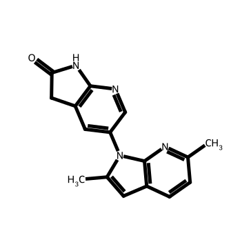 Cc1ccc2cc(C)n(-c3cnc4c(c3)CC(=O)N4)c2n1